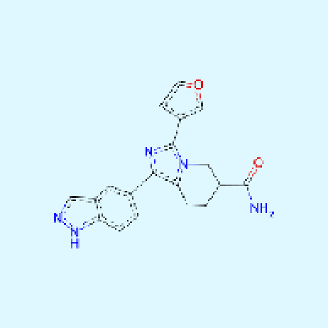 NC(=O)C1CCc2c(-c3ccc4[nH]ncc4c3)nc(-c3ccoc3)n2C1